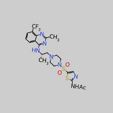 CC(=O)Nc1ncc(S(=O)(=O)N2CCN(C[C@H](C)Nc3nc(C)nc4c(C(F)(F)F)cccc34)CC2)s1